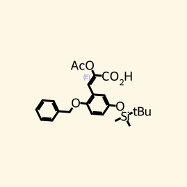 CC(=O)O/C(=C/c1cc(O[Si](C)(C)C(C)(C)C)ccc1OCc1ccccc1)C(=O)O